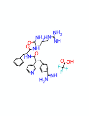 N=C(N)NCCC[C@H](NC(=O)[C@H](Cc1ccccc1)NC(=O)[C@H](Cc1ccc(C(=N)N)cc1)c1cccnc1)C(N)=O.O=C(O)C(F)(F)F